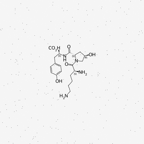 NCCCC[C@H](N)C(=O)N1C[C@H](O)C[C@H]1C(=O)N[C@@H](Cc1ccc(O)cc1)C(=O)O